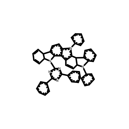 C1=CC2c3ccc4c(c5c(n4-c4ccccc4)C4c6ccccc6N(c6ccccc6)C4C=C5)c3N(c3nc(-c4ccccc4)nc(-c4ccccc4)n3)C2C=C1